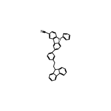 N#Cc1ccc2c(c1)c1cc(-c3cccc(CCC4c5ccccc5-c5ccccc54)c3)ccc1n2-c1ccccc1